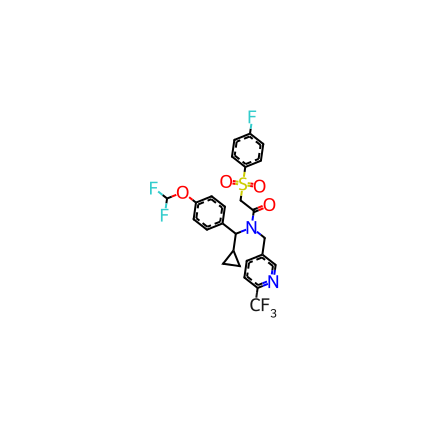 O=C(CS(=O)(=O)c1ccc(F)cc1)N(Cc1ccc(C(F)(F)F)nc1)C(c1ccc(OC(F)F)cc1)C1CC1